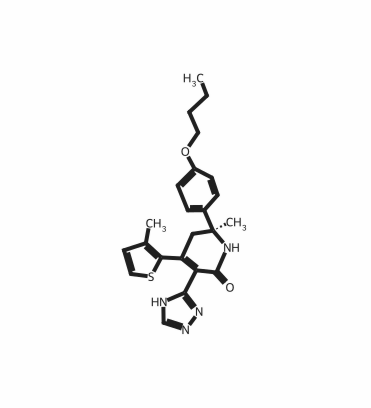 CCCCOc1ccc([C@]2(C)CC(c3sccc3C)=C(c3nnc[nH]3)C(=O)N2)cc1